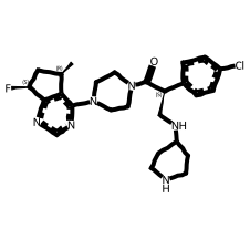 C[C@@H]1C[C@H](F)c2ncnc(N3CCN(C(=O)[C@H](CNC4CCNCC4)c4ccc(Cl)cc4)CC3)c21